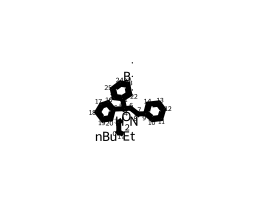 CCCCC(CC)COC(CC(N)c1ccccc1)(c1ccccc1)c1ccccc1.[B]